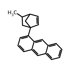 CC1CC2(c3cccc4cc5ccccc5cc34)C=CC1C2